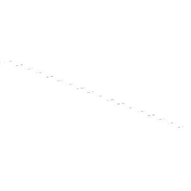 CCCCCCCCCCCCCC[CH]CCCCCCCCCCCCCCCCCCCCC